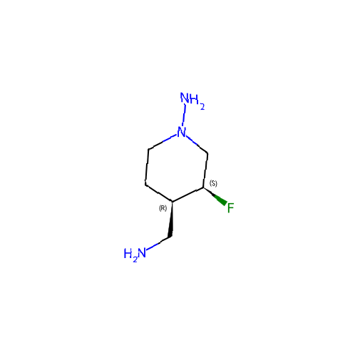 NC[C@H]1CCN(N)C[C@H]1F